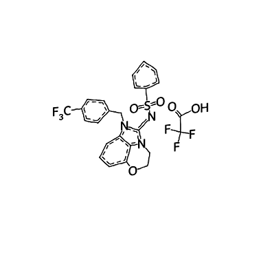 O=C(O)C(F)(F)F.O=S(=O)(/N=c1\n(Cc2ccc(C(F)(F)F)cc2)c2cccc3c2n1CCO3)c1ccccc1